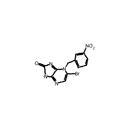 O=C1[N]C2=NC=C(Br)N(Cc3cccc([N+](=O)[O-])c3)C2=N1